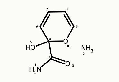 N.NC(=O)C1(O)C=CC=CO1